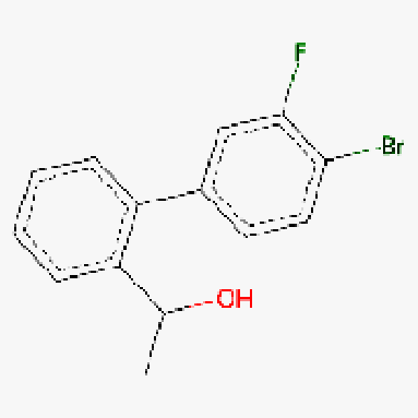 CC(O)c1ccccc1-c1ccc(Br)c(F)c1